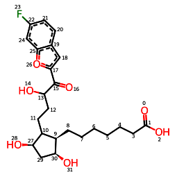 O=C(O)CCCCCC[C@@H]1C(CCC(O)C(=O)c2cc3ccc(F)cc3o2)[C@H](O)C[C@@H]1O